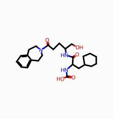 O=C(O)NC(CC1CCCCC1)C(=O)NC(CO)CCC(=O)N1CCc2ccccc2CC1